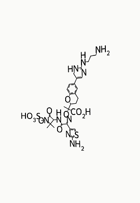 CC(O/N=C(\C(=O)NC1C(=O)N(OS(=O)(=O)O)C1(C)C)c1csc(N)n1)(C(=O)O)C1CCc2cc(C3=CN=C(NCCCN)NC3)ccc2O1